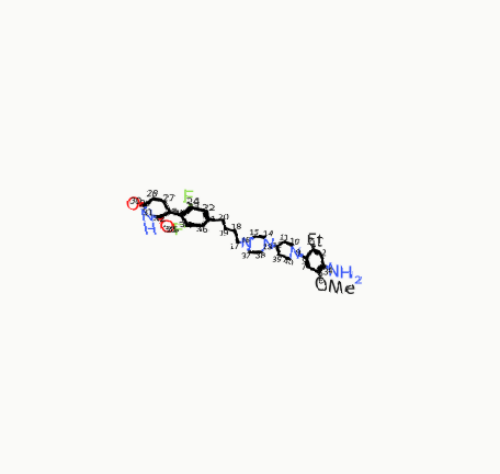 CCc1cc(N)c(OC)cc1N1CCC(N2CCN(CCCCc3cc(F)c(C4CCC(=O)NC4=O)c(F)c3)CC2)CC1